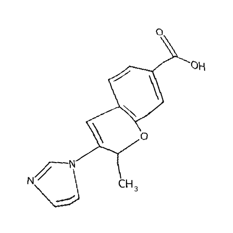 CC1Oc2cc(C(=O)O)ccc2C=C1n1ccnc1